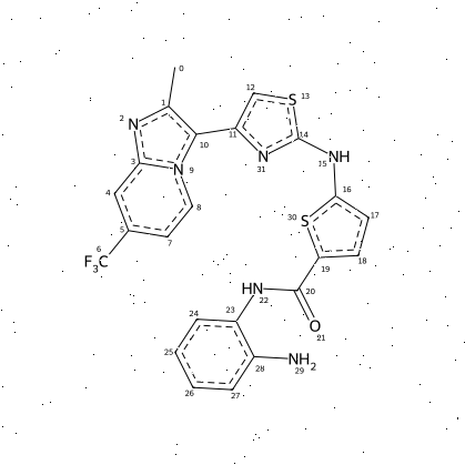 Cc1nc2cc(C(F)(F)F)ccn2c1-c1csc(Nc2ccc(C(=O)Nc3ccccc3N)s2)n1